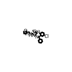 CN1C(=O)C(NC(=S)NCc2ccco2)N=C(c2ccccc2)c2cc(Cl)ccc21